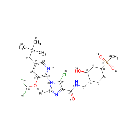 CCc1nc(C(=O)NC[C@H]2CCC(S(C)(=O)=O)C[C@@H]2O)c(Cl)n1-c1ncc(CC(C)(C)C(F)(F)F)cc1OC(F)F